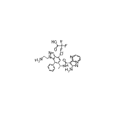 CC(NC(=O)c1c(N)nn2cccnc12)c1cc(Cl)c2cnn(CCN)c2c1-c1ccccc1.O=C(O)C(F)(F)F